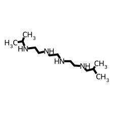 CC(C)CNCCNCCNCCNC(C)C